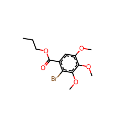 CCCOC(=O)c1cc(OC)c(OC)c(OC)c1Br